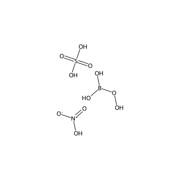 O=S(=O)(O)O.O=[N+]([O-])O.OOB(O)O